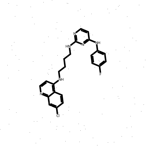 Fc1ccc(Nc2ccnc(NCCCCNc3ccnc4cc(Cl)ccc34)n2)cc1